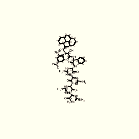 N=C(N)NC(NC(=O)C(NC(=N)N)NC(=O)C(NC(=N)N)NC(=O)C(NC(=N)N)NC(=O)C(NC(=O)C(O)N(CC1=CC2=C3C(=CC=C4C=CC=C1C43)CC=C2)c1ccc([N+](=O)[O-])cc1[N+](=O)[O-])c1ccccc1)C(N)=O